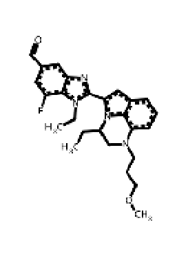 CCC1CN(CCCOC)c2cccc3cc(-c4nc5cc(C=O)cc(F)c5n4CC)n1c23